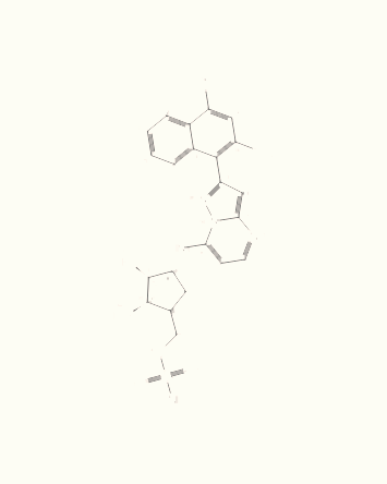 NS(=O)(=O)OCC1C[C@@H](Nc2ccnc3cc(-c4c(Cl)cc(Cl)c5ccccc45)nn23)[C@H](O)[C@@H]1O